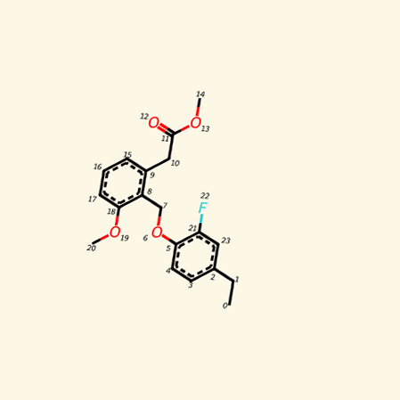 CCc1ccc(OCc2c(CC(=O)OC)cccc2OC)c(F)c1